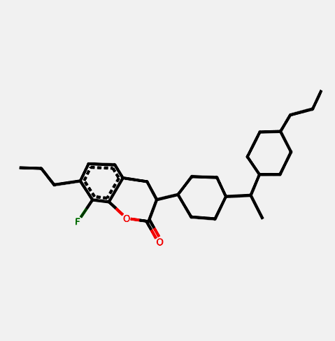 CCCc1ccc2c(c1F)OC(=O)C(C1CCC(C(C)C3CCC(CCC)CC3)CC1)C2